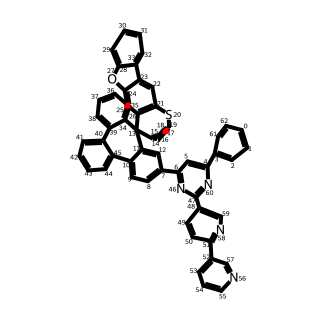 c1ccc(-c2cc(-c3ccc4c(c3)C3(c5ccccc5Sc5cc6c(cc53)oc3ccccc36)c3ccccc3-c3ccccc3-4)nc(-c3ccc(-c4cccnc4)nc3)n2)cc1